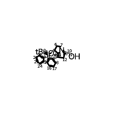 CC(C)(C)[Si](OC[C@@]12CCCN1[C@H](CO)CC2)(c1ccccc1)c1ccccc1